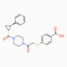 O=C(O)c1ccc(SCC(=O)N2CCN(C(=O)[C@@H]3C[C@H]3c3ccccc3)CC2)cc1